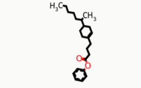 CCCCCC(C)C1CC=C(CCCC(=O)Oc2ccccc2)CC1